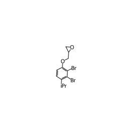 CC(C)c1ccc(OCC2CO2)c(Br)c1Br